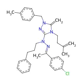 C=C(C)CCN1C(=C)N(Cc2ccc(C)cc2)N=C1N(CCCc1ccccc1)/N=C(\C)c1ccc(Cl)cc1